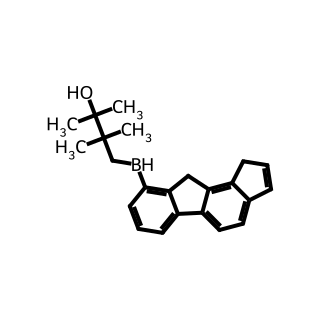 CC(C)(O)C(C)(C)CBc1cccc2c1Cc1c-2ccc2c1CC=C2